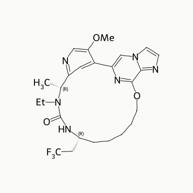 CCN1C(=O)N[C@@H](CC(F)(F)F)CCCCCOc2nc(cn3ccnc23)-c2cc(ncc2OC)[C@H]1C